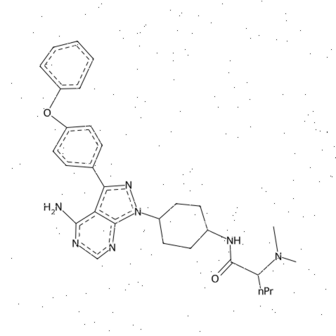 CCCC(C(=O)NC1CCC(n2nc(-c3ccc(Oc4ccccc4)cc3)c3c(N)ncnc32)CC1)N(C)C